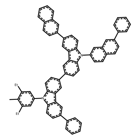 CCc1cc(-n2c3ccc(-c4ccccc4)cc3c3cc(-c4ccc5c(c4)c4cc(-c6ccc7ccccc7c6)ccc4n5-c4ccc5ccc(-c6ccccc6)cc5c4)ccc32)cc(CC)c1C